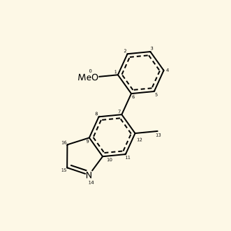 COc1ccccc1-c1cc2c(cc1C)N=CC2